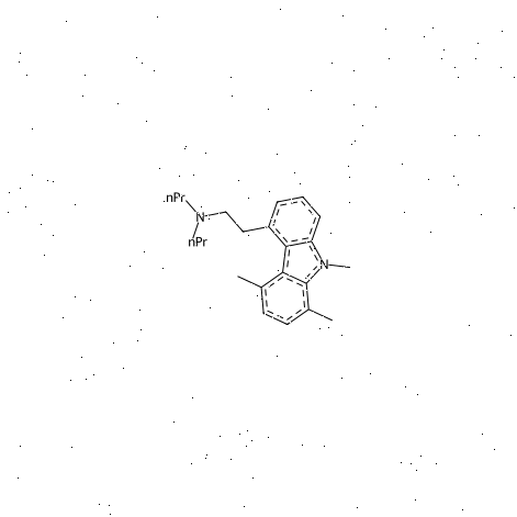 CCCN(CCC)CCc1cccc2c1c1c(C)ccc(C)c1n2C